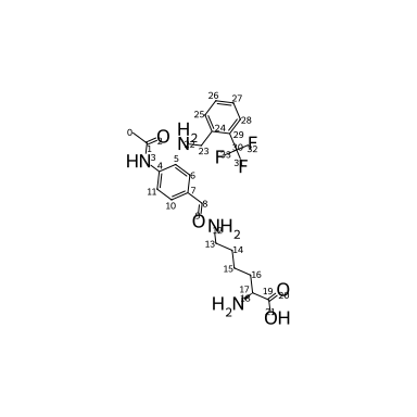 CC(=O)Nc1ccc(C=O)cc1.NCCCC[C@H](N)C(=O)O.NCc1ccccc1C(F)(F)F